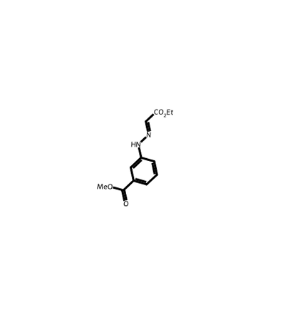 CCOC(=O)C=NNc1cccc(C(=O)OC)c1